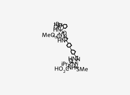 COC[C@H]1C[C@@H](c2ncc(-c3ccc(-c4ccc(-c5cnc([C@@H]6C[C@H](SC)CN6C(=O)[C@@H](NC(=O)O)C(C)C)[nH]5)cc4)cc3)[nH]2)N(C(=O)C(NC(=O)OC(C)(C)C)c2ccccc2)C1